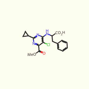 COC(=O)c1nc(C2CC2)nc(NC(Cc2ccccc2)C(=O)O)c1Cl